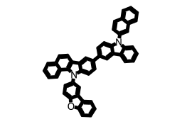 c1ccc2cc(-n3c4ccccc4c4cc(-c5ccc6c(c5)c5ccc7ccccc7c5n6-c5ccc6oc7ccccc7c6c5)ccc43)ccc2c1